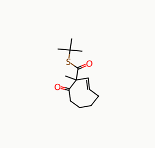 CC(C)(C)SC(=O)C1(C)/C=C/CCCCC1=O